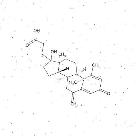 C=C1C[C@@H]2[C@@H](CC[C@@]3(C)[C@H]2CCC3(O)CCC(=O)O)[C@@]2(C)C(C)=CC(=O)C=C12